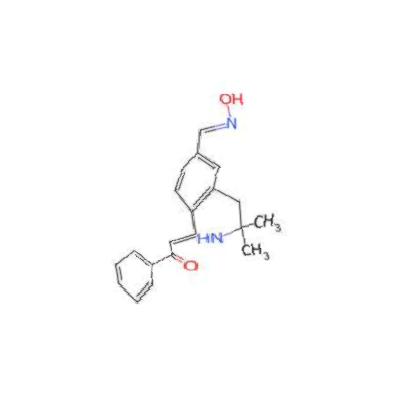 CC1(C)Cc2cc(C=NO)ccc2C(=CC(=O)c2ccccc2)N1